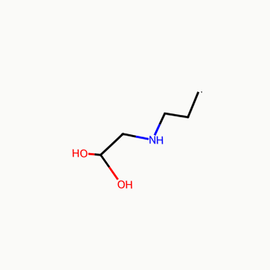 [CH2]CCNCC(O)O